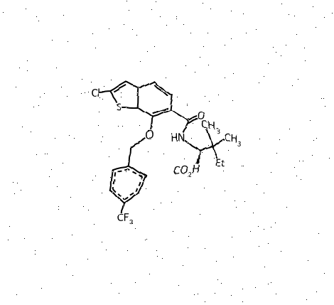 CCC(C)(C)[C@H](NC(=O)C1=C(OCc2ccc(C(F)(F)F)cc2)C2SC(Cl)=CC2C=C1)C(=O)O